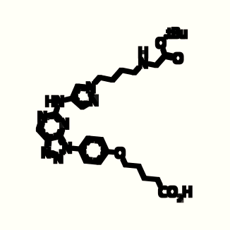 CC(C)(C)OC(=O)CNCCCCn1cc(Nc2ncc3nnn(-c4ccc(OCCCCC(=O)O)cc4)c3n2)cn1